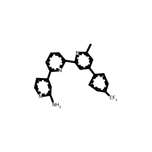 Cc1cc(-c2ccc(C(F)(F)F)cc2)cc(-c2cccc(-c3ccnc(N)c3)n2)n1